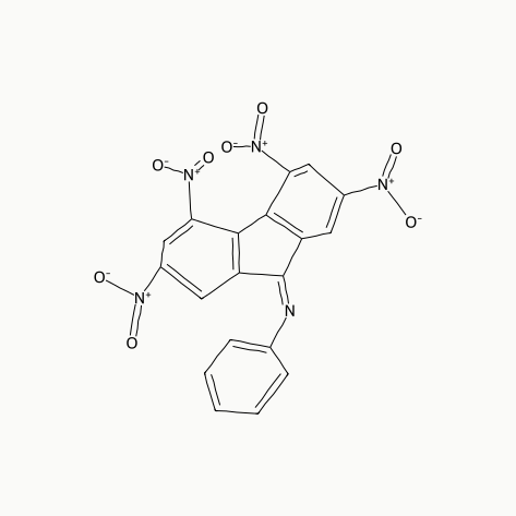 O=[N+]([O-])c1cc2c(c([N+](=O)[O-])c1)-c1c(cc([N+](=O)[O-])cc1[N+](=O)[O-])C2=Nc1ccccc1